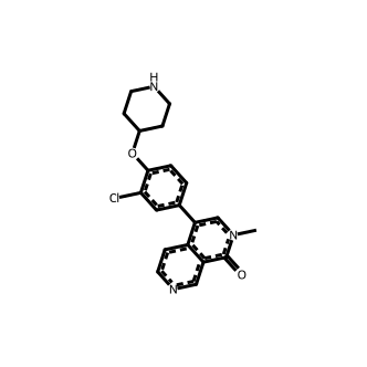 Cn1cc(-c2ccc(OC3CCNCC3)c(Cl)c2)c2ccncc2c1=O